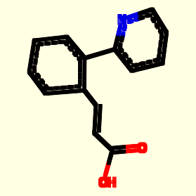 O=C(O)C=Cc1ccccc1-c1ccccn1